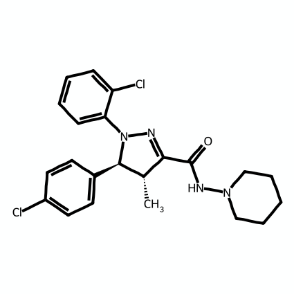 C[C@H]1C(C(=O)NN2CCCCC2)=NN(c2ccccc2Cl)[C@@H]1c1ccc(Cl)cc1